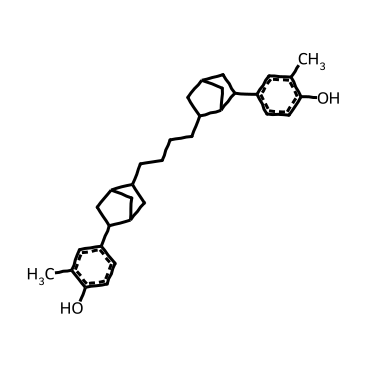 Cc1cc(C2CC3CC2CC3CCCCC2CC3CC(c4ccc(O)c(C)c4)C2C3)ccc1O